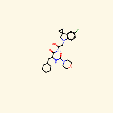 O=C(NC(O)CN1CC2(CC2)c2cc(F)ccc21)C(CC1CCCCC1)NC(=O)N1CCOCC1